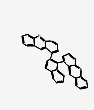 c1ccc2nc3cccc(-c4ccc5ccccc5c4-c4cccc5nc6ccccc6cc45)c3cc2c1